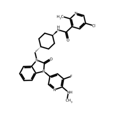 CNc1ncc(-n2c(=O)n(C[C@H]3CC[C@H](NC(=O)c4cc(Cl)cnc4C)CC3)c3ccccc32)cc1F